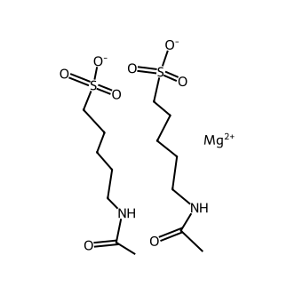 CC(=O)NCCCCCS(=O)(=O)[O-].CC(=O)NCCCCCS(=O)(=O)[O-].[Mg+2]